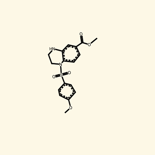 COC(=O)c1ccc2c(c1)NCCN2S(=O)(=O)c1ccc(OC)cc1